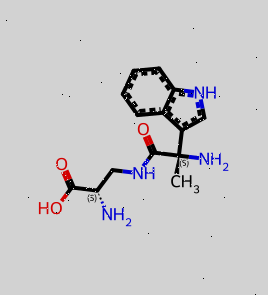 C[C@@](N)(C(=O)NC[C@H](N)C(=O)O)c1c[nH]c2ccccc12